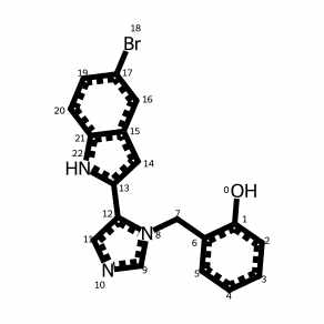 Oc1ccccc1Cn1cncc1-c1cc2cc(Br)ccc2[nH]1